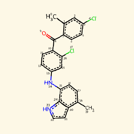 Cc1cc(Cl)ccc1C(=O)c1ccc(Nc2ccc(C)c3cc[nH]c23)cc1Cl